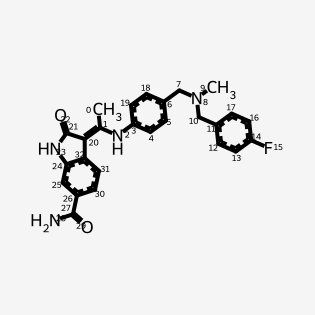 CC(Nc1ccc(CN(C)Cc2ccc(F)cc2)cc1)=C1C(=O)Nc2cc(C(N)=O)ccc21